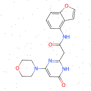 O=C(Cc1nc(N2CCOCC2)cc(=O)[nH]1)Nc1cccc2occc12